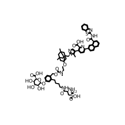 Cc1c(-c2ccc(-c3ccc4cccc(C(=O)Nc5nc6ccccc6s5)c4c3)nc2C(=O)O)cnn1CC12CC3(C)CC(C)(C1)CC(OCCN(C)C(=O)OCc1ccc(O[C@@H]4O[C@H](C(=O)O)[C@@H](O)[C@H](O)[C@H]4O)cc1CCCCNC(=O)[C@@H](N)CS(=O)(=O)O)(C3)C2